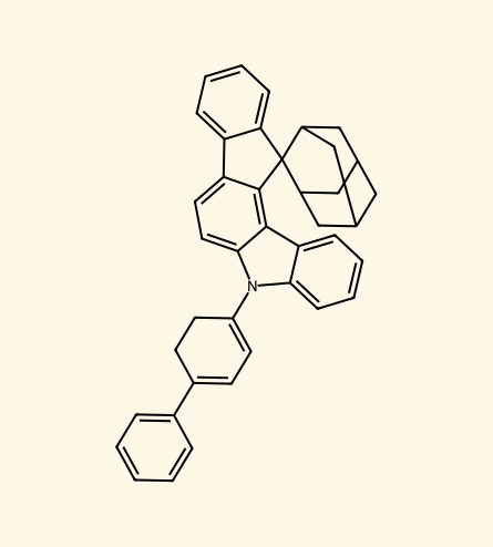 C1=C(c2ccccc2)CCC(n2c3ccccc3c3c4c(ccc32)-c2ccccc2C42C3CC4CC(C3)CC2C4)=C1